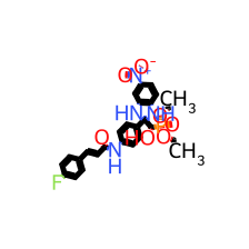 CCOP(=O)(OCC)C(O)C1(c2ccc(NC(=O)/C=C/c3ccc(F)cc3)cc2)Nc2ccc([N+](=O)[O-])cc2N1